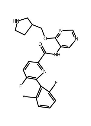 O=C(Nc1cncnc1OCC1CCNC1)c1ccc(F)c(-c2c(F)cccc2F)n1